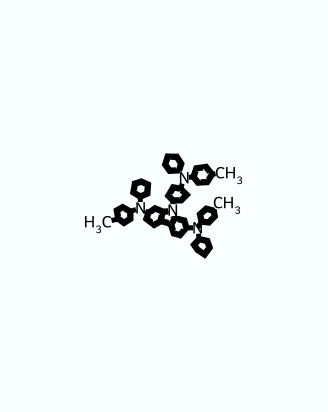 Cc1ccc(N(c2ccccc2)c2ccc(-n3c4cc(N(c5ccccc5)c5ccc(C)cc5)ccc4c4ccc(N(c5ccccc5)c5ccc(C)cc5)cc43)cc2)cc1